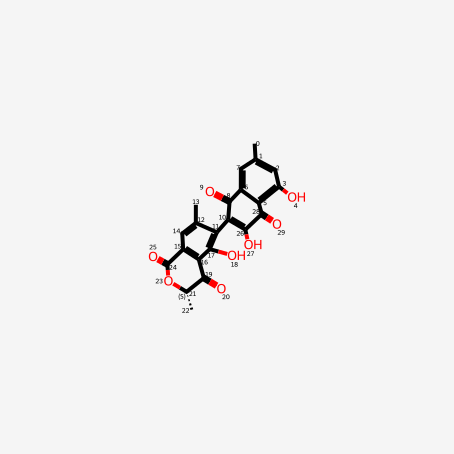 Cc1cc(O)c2c(c1)C(=O)C(c1c(C)cc3c(c1O)C(=O)[C@H](C)OC3=O)=C(O)C2=O